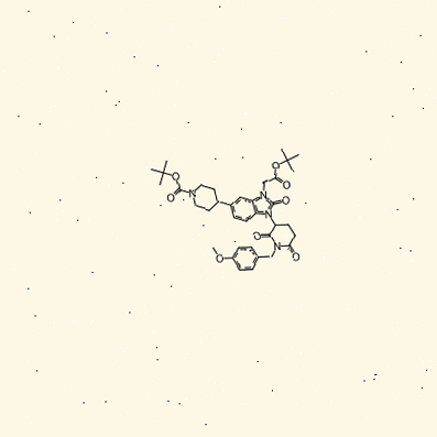 COc1ccc(CN2C(=O)CCC(n3c(=O)n(CC(=O)OC(C)(C)C)c4cc(C5CCN(C(=O)OC(C)(C)C)CC5)ccc43)C2=O)cc1